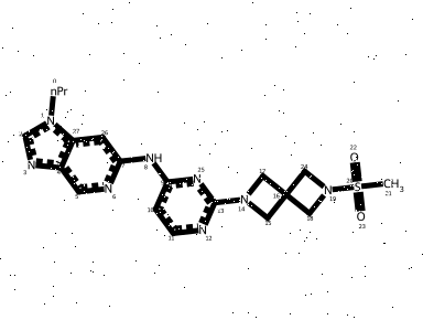 CCCn1cnc2cnc(Nc3ccnc(N4CC5(C4)CN(S(C)(=O)=O)C5)n3)cc21